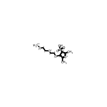 COCCOCCOc1c(C)sc(C)c1S(=O)(=O)O